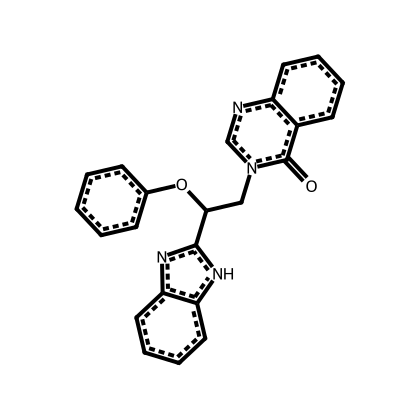 O=c1c2ccccc2ncn1CC(Oc1ccccc1)c1nc2ccccc2[nH]1